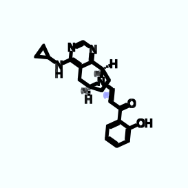 O=C(/C=C/N1[C@H]2CC[C@@H]1c1ncnc(NC3CC3)c1C2)c1ccccc1O